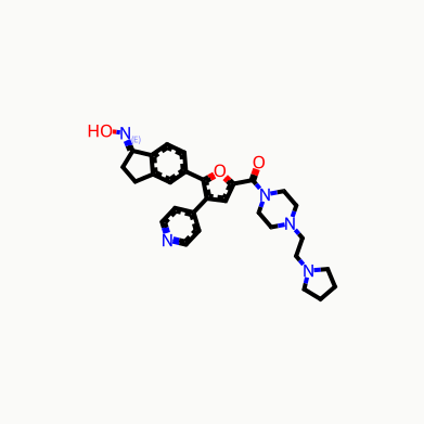 O=C(c1cc(-c2ccncc2)c(-c2ccc3c(c2)CC/C3=N\O)o1)N1CCN(CCN2CCCC2)CC1